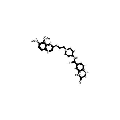 COc1ccc2ncc(SCCN3CCC(NC(=O)c4ccc5c(c4)NC(=O)CS5)CC3)nc2c1OC